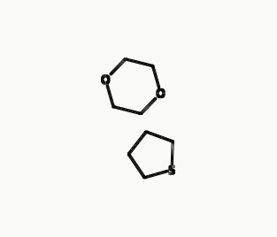 C1CCSC1.C1COCCO1